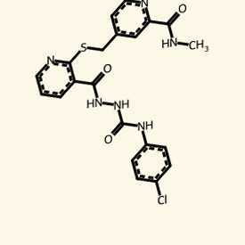 CNC(=O)c1cc(CSc2ncccc2C(=O)NNC(=O)Nc2ccc(Cl)cc2)ccn1